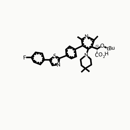 Cc1nc(C)c([C@H](OC(C)(C)C)C(=O)O)c(N2CCC(C)(C)CC2)c1-c1ccc(-c2ncc(-c3ccc(F)cc3)s2)cc1